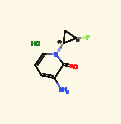 Cl.Nc1cccn([C@@H]2C[C@@H]2F)c1=O